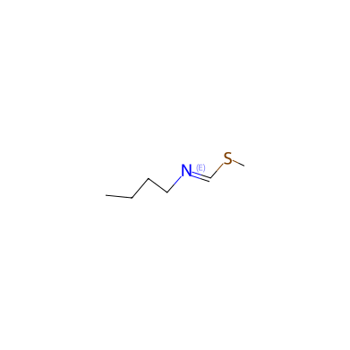 CCCC/N=C/SC